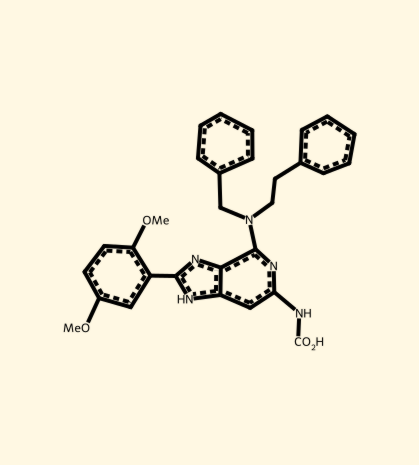 COc1ccc(OC)c(-c2nc3c(N(CCc4ccccc4)Cc4ccccc4)nc(NC(=O)O)cc3[nH]2)c1